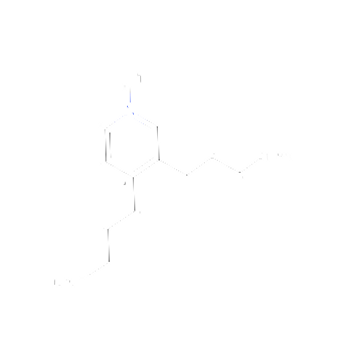 CCCCCCCCCCCCCc1cc[n+](C(C)C)cc1CCCCCCCCCCCCC